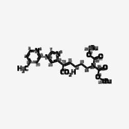 Cc1ccnc(-n2cnc(C(=CCCCN(C(=O)OC(C)(C)C)C(=O)OC(C)(C)C)C(=O)O)c2)c1